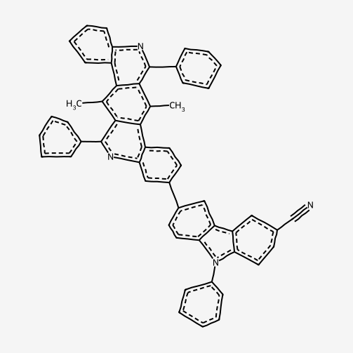 Cc1c2c(-c3ccccc3)nc3cc(-c4ccc5c(c4)c4cc(C#N)ccc4n5-c4ccccc4)ccc3c2c(C)c2c(-c3ccccc3)nc3ccccc3c12